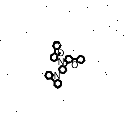 c1ccc2c(c1)oc1c(-n3c4cc(-n5c6ccccc6c6ccccc65)ccc4c4c5oc6ccccc6c5ccc43)cccc12